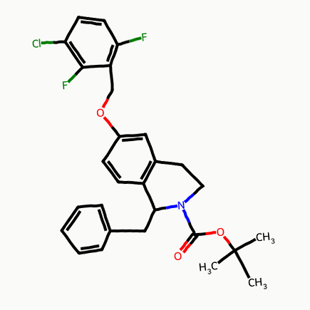 CC(C)(C)OC(=O)N1CCc2cc(OCc3c(F)ccc(Cl)c3F)ccc2C1Cc1ccccc1